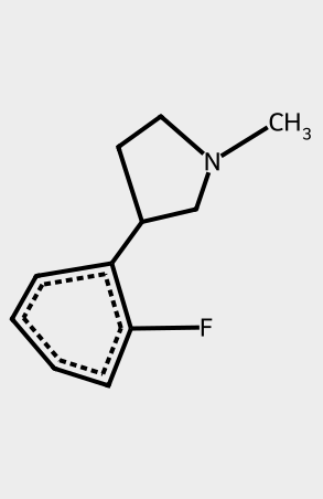 CN1CCC(c2ccccc2F)C1